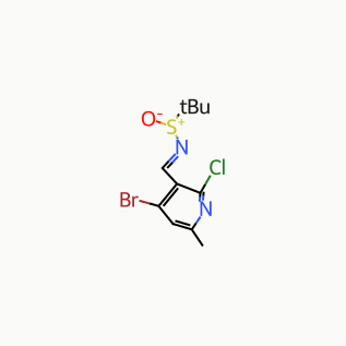 Cc1cc(Br)c(/C=N/[S+]([O-])C(C)(C)C)c(Cl)n1